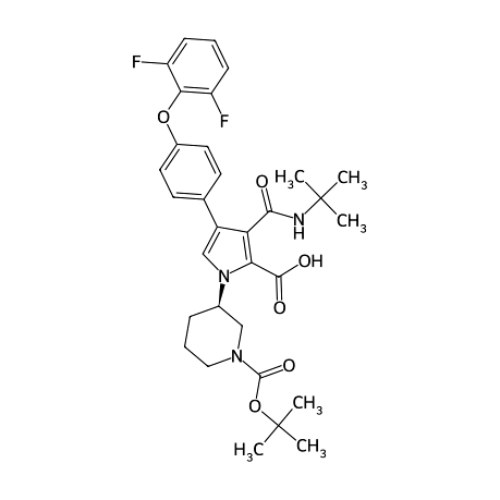 CC(C)(C)NC(=O)c1c(-c2ccc(Oc3c(F)cccc3F)cc2)cn([C@@H]2CCCN(C(=O)OC(C)(C)C)C2)c1C(=O)O